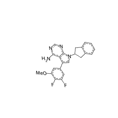 COc1cc(-c2cn(C3Cc4ccccc4C3)c3ncnc(N)c23)cc(F)c1F